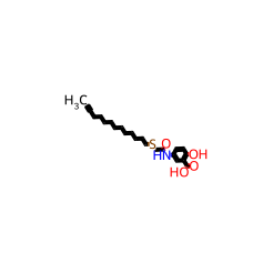 CC#CCCCCCCCCCCCSCC(=O)Nc1ccc(O)c(C(=O)O)c1